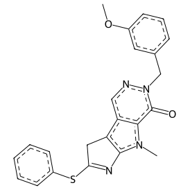 COc1cccc(Cn2ncc3c4c(n(C)c3c2=O)N=C(Sc2ccccc2)C4)c1